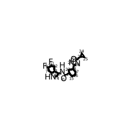 O=C(Nc1c[nH]c2cc(F)c(F)cc12)c1cccc(-c2noc(C3CC3)n2)c1